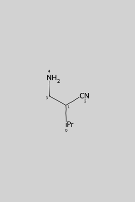 CC(C)C(C#N)CN